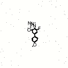 COc1ccc(C2=CC(F)=C(N=[N+]=[N-])C(F)(OC)C2)cc1